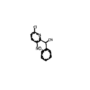 N#CC(c1ccccc1)c1nc(Cl)ccc1[N+](=O)[O-]